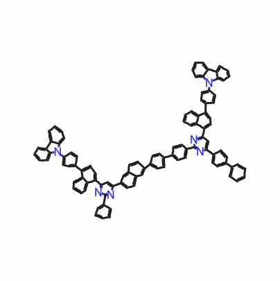 c1ccc(-c2ccc(-c3cc(-c4ccc(-c5ccc(-n6c7ccccc7c7ccccc76)cc5)c5ccccc45)nc(-c4ccc(-c5ccc(-c6ccc7cc(-c8cc(-c9ccc(-c%10ccc(-n%11c%12ccccc%12c%12ccccc%12%11)cc%10)c%10ccccc9%10)nc(-c9ccccc9)n8)ccc7c6)cc5)cc4)n3)cc2)cc1